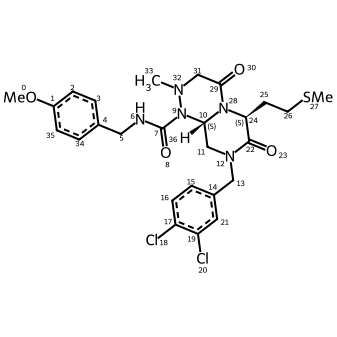 COc1ccc(CNC(=O)N2[C@H]3CN(Cc4ccc(Cl)c(Cl)c4)C(=O)[C@H](CCSC)N3C(=O)CN2C)cc1